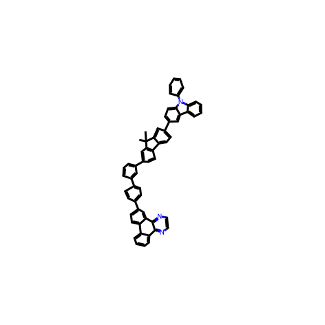 CC1(C)c2cc(-c3cccc(-c4ccc(-c5ccc6c7ccccc7c7nccnc7c6c5)cc4)c3)ccc2-c2ccc(-c3ccc4c(c3)c3ccccc3n4-c3ccccc3)cc21